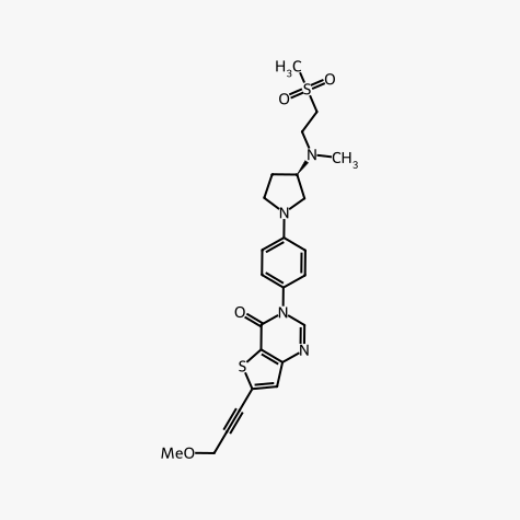 COCC#Cc1cc2ncn(-c3ccc(N4CC[C@@H](N(C)CCS(C)(=O)=O)C4)cc3)c(=O)c2s1